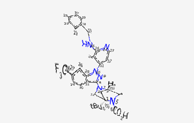 CC(C)(C)[C@]12C[C@@H](CN1C(=O)O)N(c1nn(-c3ccnc(NCc4ccccc4)c3)c3cc(C(F)(F)F)ccc13)C2